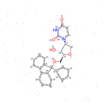 O=c1ccn([C@H]2CO[C@@H](COC(c3ccccc3)(c3ccccc3)c3ccccc3)[C@@H]2O)c(=O)[nH]1